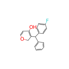 OC1=C(C(c2ccccc2)c2ccc(F)cc2)COC=C1